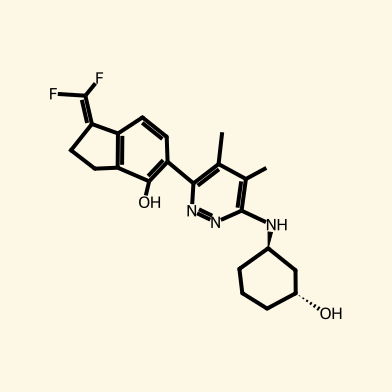 Cc1c(N[C@@H]2CCC[C@@H](O)C2)nnc(-c2ccc3c(c2O)CCC3=C(F)F)c1C